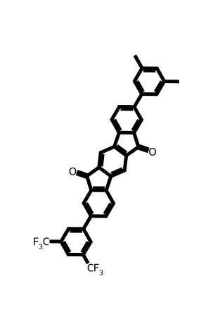 Cc1cc(C)cc(-c2ccc3c(c2)c(=O)c2cc4c(cc23)c(=O)c2cc(-c3cc(C(F)(F)F)cc(C(F)(F)F)c3)ccc24)c1